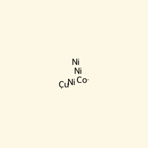 [Co].[Cu].[Ni].[Ni].[Ni]